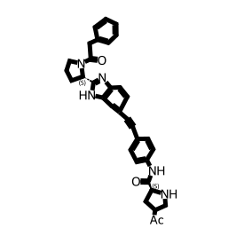 CC(=O)C1CN[C@H](C(=O)Nc2ccc(C#Cc3ccc4nc([C@@H]5CCCN5C(=O)Cc5ccccc5)[nH]c4c3)cc2)C1